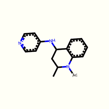 CC(=O)N1c2ccccc2C(Nc2ccncc2)CC1C